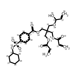 C=CC(=O)OCC(COC(=O)C=C)(COC(=O)c1ccc(S(=O)(=O)OC2CCCCC2)cc1)COC(O)C=C